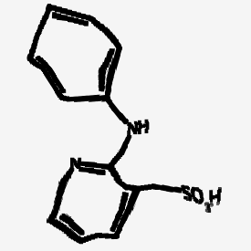 O=S(=O)(O)c1cccnc1Nc1ccccc1